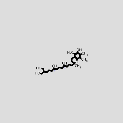 C/C(=C\CC/C(C)=C/CC[C@]1(C)CCc2c(C)c(O)c(C)c(C)c2O1)CCC=C(CO)CO